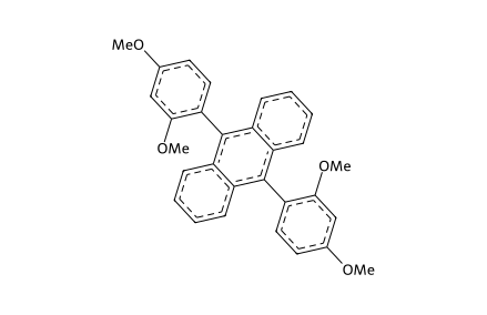 COc1ccc(-c2c3ccccc3c(-c3ccc(OC)cc3OC)c3ccccc23)c(OC)c1